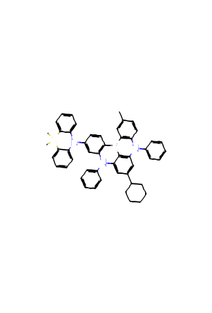 Cc1ccc2c(c1)B1c3ccc(N4c5ccccc5S(C)(C)c5ccccc54)cc3N(c3ccccc3)c3cc(C4CCCCC4)cc(c31)N2c1ccccc1